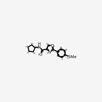 CSc1ccc(-c2nc(C(=O)NC3CCCC3)co2)cc1